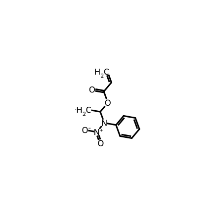 [CH2]C(OC(=O)C=C)N(c1ccccc1)[N+](=O)[O-]